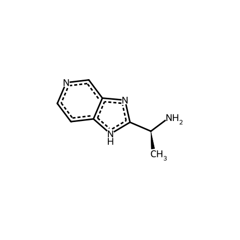 C[C@H](N)c1nc2cnccc2[nH]1